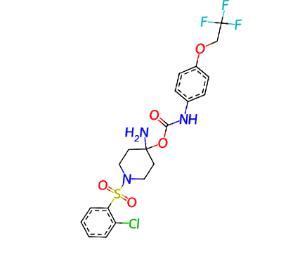 NC1(OC(=O)Nc2ccc(OCC(F)(F)F)cc2)CCN(S(=O)(=O)c2ccccc2Cl)CC1